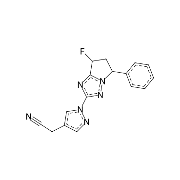 N#CCc1cnn(-c2nc3n(n2)C(c2ccccc2)CC3F)c1